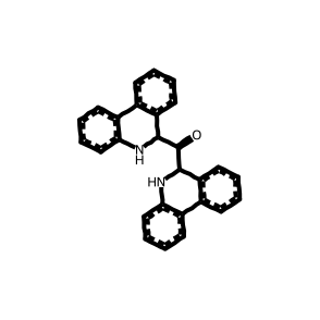 O=C(C1Nc2ccccc2-c2ccccc21)C1Nc2ccccc2-c2ccccc21